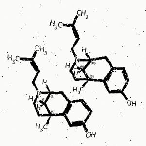 CC(C)=CCN1CC[C@@]2(C)c3cc(O)ccc3C[C@@H]1[C@@H]2C.CC(C)=CCN1CC[C@@]2(C)c3cc(O)ccc3C[C@@H]1[C@@H]2C